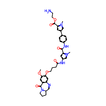 COc1cc2c(cc1OCCCC(=O)Nc1cc(C(=O)Nc3ccc(-c4cc(C(=O)OCCN)n(C)c4)cc3)n(C)c1)N=CC1CCCN1C2=O